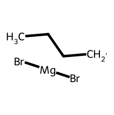 [Br][Mg][Br].[CH2]CCC